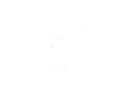 C=CC(=O)N1CC[C@@H]2[C@H]1CN2c1c(CC#N)c(OC[C@@]23CCCN2C[C@H](F)C3)nc2cc(-c3cccc4ccc(F)c(Cl)c34)ccc12